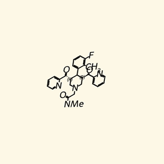 CNC(=O)CN1C[C@H](C(=O)c2ccccn2)C(c2cccc(F)c2C)[C@@H](C(=O)c2ccccn2)C1